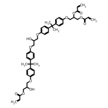 C=CC(=O)OCC(O)COc1ccc(C(C)(C)c2ccc(OCC(O)COc3ccc(C(C)(C)c4ccc(OCC(COC(=O)C=C)OC(=O)C=C)cc4)cc3)cc2)cc1